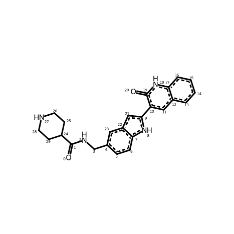 O=C(NCc1ccc2[nH]c(-c3cc4ccccc4[nH]c3=O)cc2c1)C1CCNCC1